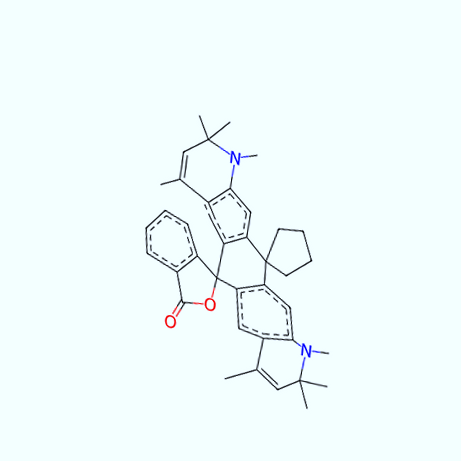 CC1=CC(C)(C)N(C)c2cc3c(cc21)C1(OC(=O)c2ccccc21)c1cc2c(cc1C31CCCC1)N(C)C(C)(C)C=C2C